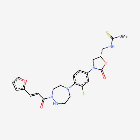 COC(=S)NC[C@H]1CN(c2ccc(N3CCNN(C(=O)/C=C/c4ccco4)CC3)c(F)c2)C(=O)O1